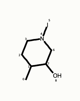 CC1CCN(I)CC1O